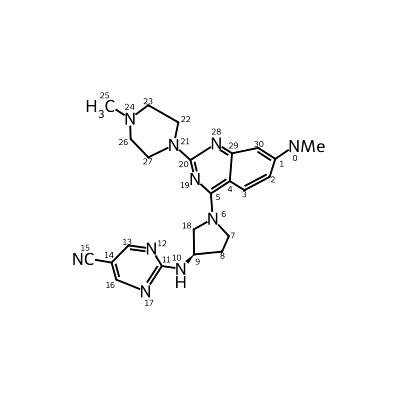 CNc1ccc2c(N3CC[C@@H](Nc4ncc(C#N)cn4)C3)nc(N3CCN(C)CC3)nc2c1